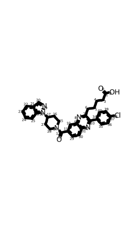 O=C(O)CCCCc1nc2cc(C(=O)N3CCC(n4ncc5ccccc54)CC3)ccc2nc1-c1ccc(Cl)cc1